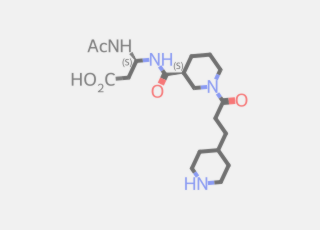 CC(=O)N[C@H](CC(=O)O)NC(=O)[C@H]1CCCN(C(=O)CCC2CCNCC2)C1